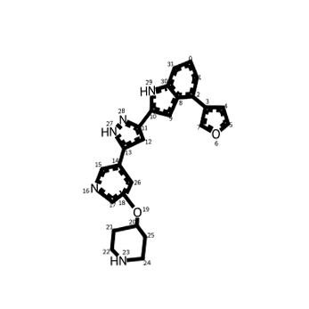 c1cc(-c2ccoc2)c2cc(-c3cc(-c4cncc(OC5CCNCC5)c4)[nH]n3)[nH]c2c1